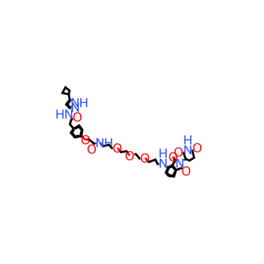 O=C(COc1ccc(CC(=O)Nc2cc(C3CCC3)[nH]n2)cc1)NCCCOCCOCCOCCCNc1cccc2c1C(=O)N(C1CCC(=O)NC1=O)C2=O